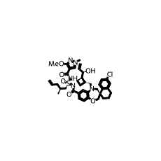 C=CC[C@H](C)C[S@](=O)(=NC(=O)c1ccc2c(c1)N(C[C@@H]1CC[C@H]1[C@@H](O)C=C)C[C@@]1(CCCc3cc(Cl)ccc31)CO2)NC(=O)c1cn(C)nc1OC